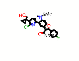 CNC(=O)c1c(-c2ccc(F)cc2)oc2cc(N(C)SC)c(-c3ccc(C4(CO)CC4)c(Cl)n3)cc12